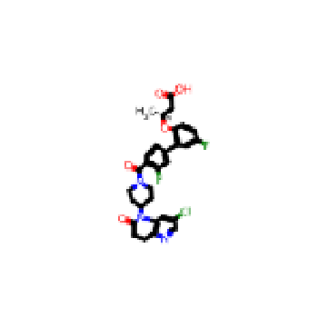 C[C@H](CC(=O)O)Oc1ccc(F)cc1-c1ccc(C(=O)N2CCC(N3C(=O)CCc4ncc(Cl)cc43)CC2)c(F)c1